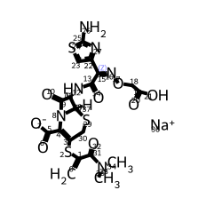 C=C(SC1=C(C(=O)[O-])N2C(=O)[C@@H](NC(=O)/C(=N\OCC(=O)O)c3csc(N)n3)[C@@H]2SC1)C(=O)N(C)C.[Na+]